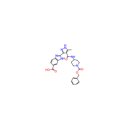 Cc1[nH]nc(-c2nc3ccc(C(=O)O)cc3[nH]2)c1C(=O)NC1CCN(C(=O)OCc2ccccc2)CC1